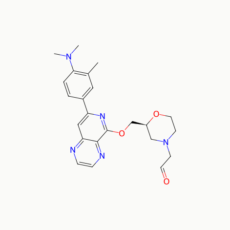 Cc1cc(-c2cc3nccnc3c(OC[C@@H]3CN(CC=O)CCO3)n2)ccc1N(C)C